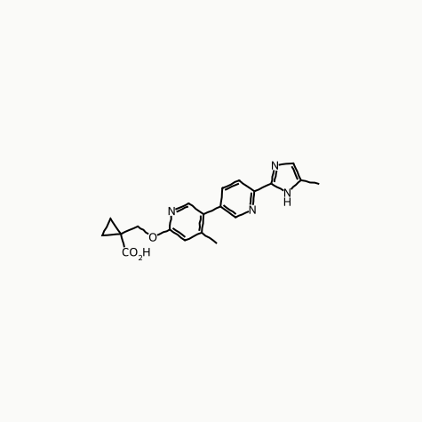 Cc1cnc(-c2ccc(-c3cnc(OCC4(C(=O)O)CC4)cc3C)cn2)[nH]1